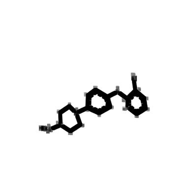 O=C(O)N1CCN(c2ccc(Sc3ncccc3Cl)cc2)CC1